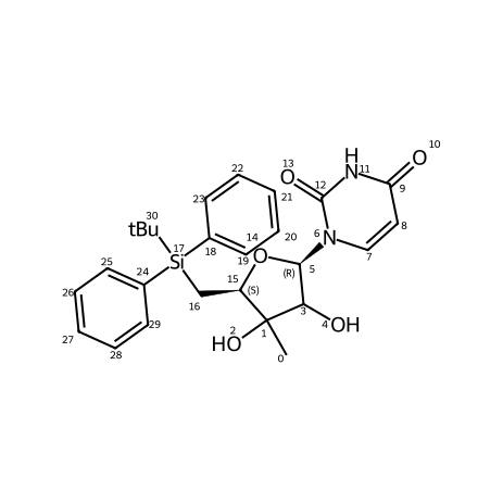 CC1(O)C(O)[C@H](n2ccc(=O)[nH]c2=O)O[C@@H]1C[Si](c1ccccc1)(c1ccccc1)C(C)(C)C